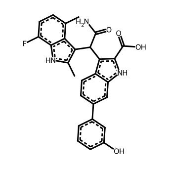 Cc1[nH]c2c(F)ccc(C)c2c1C(C(N)=O)c1c(C(=O)O)[nH]c2cc(-c3cccc(O)c3)ccc12